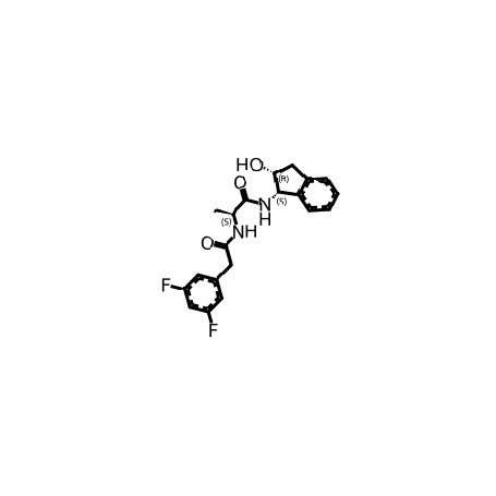 C[C@H](NC(=O)Cc1cc(F)cc(F)c1)C(=O)N[C@H]1c2ccccc2C[C@H]1O